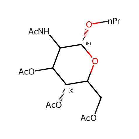 CCCO[C@@H]1OC(COC(C)=O)[C@H](OC(C)=O)C(OC(C)=O)C1NC(C)=O